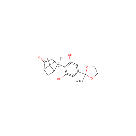 CCCCCCC1(c2cc(O)c([C@@H]3CC(=O)C4CC3C4(C)C)c(O)c2)OCCO1